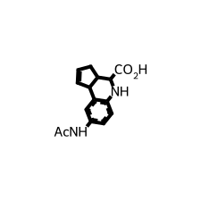 CC(=O)Nc1ccc2c(c1)C1C=CCC1C(C(=O)O)N2